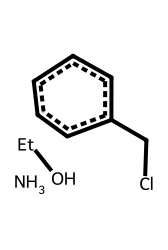 CCO.ClCc1ccccc1.N